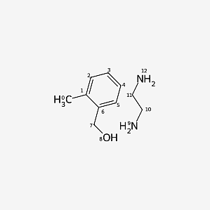 Cc1ccccc1CO.NCCN